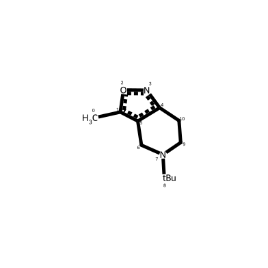 Cc1onc2c1CN(C(C)(C)C)CC2